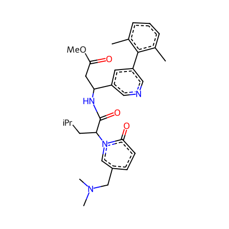 COC(=O)CC(NC(=O)C(CC(C)C)n1cc(CN(C)C)ccc1=O)c1cncc(-c2c(C)cccc2C)c1